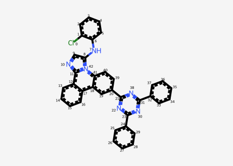 Clc1ccccc1Nc1cnc2c3ccccc3c3cc(-c4nc(-c5ccccc5)nc(-c5ccccc5)n4)ccc3n12